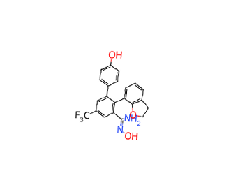 N/C(=N\O)c1cc(C(F)(F)F)cc(-c2ccc(O)cc2)c1-c1cccc2c1OCC2